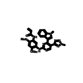 C=CC(=O)Nc1cc(Nc2ncc(-c3nnn(C)n3)c(-c3cn(C)c4ccccc34)n2)c(OC)cc1NC